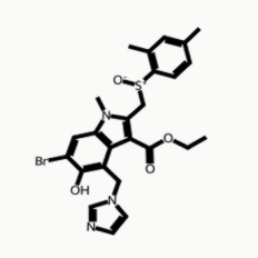 CCOC(=O)c1c(C[S+]([O-])c2ccc(C)cc2C)n(C)c2cc(Br)c(O)c(Cn3ccnc3)c12